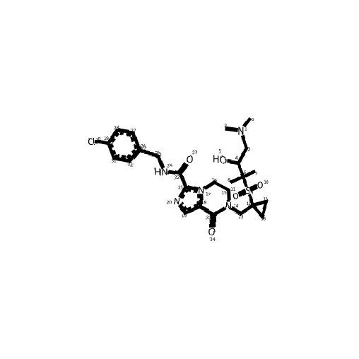 CN(C)CC(O)C(C)(C)S(=O)(=O)C1(CN2CCn3c(cnc3C(=O)NCc3ccc(Cl)cc3)C2=O)CC1